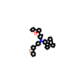 c1ccc(C2(c3ccc(N(c4ccc(-c5ccc6sc7ccccc7c6c5)cc4)c4ccc(-c5cccc6c5oc5ccccc56)cc4)cc3)c3ccccc3-c3ccccc32)cc1